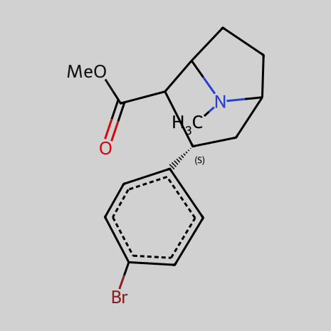 COC(=O)C1C2CCC(C[C@@H]1c1ccc(Br)cc1)N2C